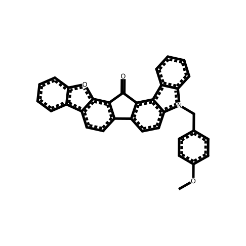 COc1ccc(Cn2c3ccccc3c3c4c(ccc32)-c2ccc3c(oc5ccccc53)c2C4=O)cc1